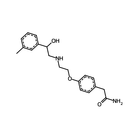 Cc1cccc(C(O)CNCCOc2ccc(CC(N)=O)cc2)c1